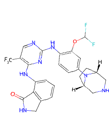 O=C1NCc2cccc(Nc3nc(Nc4ccc(N5[C@@H]6CC[C@H]5CNC6)cc4OC(F)F)ncc3C(F)(F)F)c21